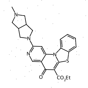 CCOC(=O)c1c(=O)c2cnc(N3CC4CN(C)CC4C3)cc2n2c1sc1ccccc12